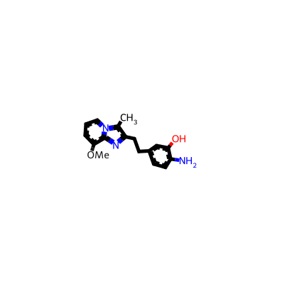 COc1cccn2c(C)c(CCc3ccc(N)c(O)c3)nc12